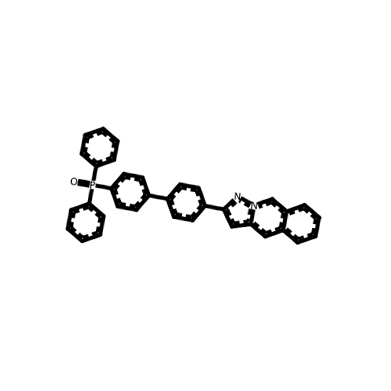 O=P(c1ccccc1)(c1ccccc1)c1ccc(-c2ccc(-c3cc4cc5ccccc5cn4n3)cc2)cc1